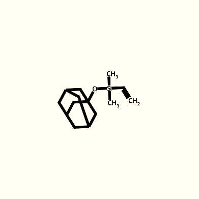 C=C[Si](C)(C)OC12CC3CC(CC(C3)C1)C2